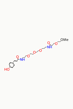 COCCOCCC(=O)NCCCOCCOCCOCCCNC(=O)/C=C/c1ccc(O)cc1